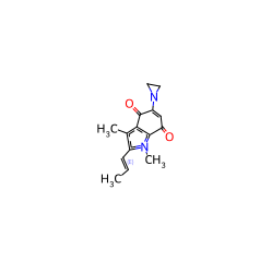 C/C=C/c1c(C)c2c(n1C)C(=O)C=C(N1CC1)C2=O